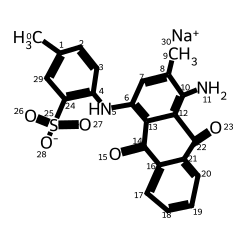 Cc1ccc(Nc2cc(C)c(N)c3c2C(=O)c2ccccc2C3=O)c(S(=O)(=O)[O-])c1.[Na+]